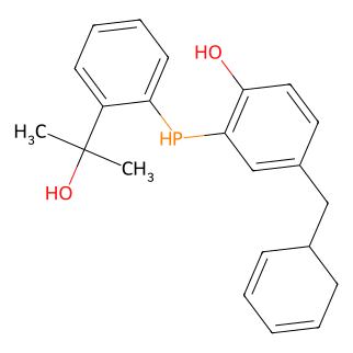 CC(C)(O)c1ccccc1Pc1cc(CC2C=CC=CC2)ccc1O